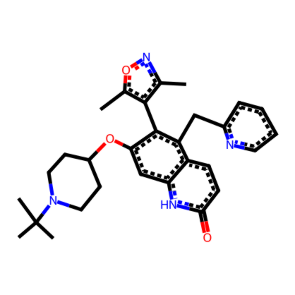 Cc1noc(C)c1-c1c(OC2CCN(C(C)(C)C)CC2)cc2[nH]c(=O)ccc2c1Cc1ccccn1